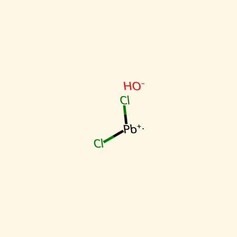 [Cl][Pb+][Cl].[OH-]